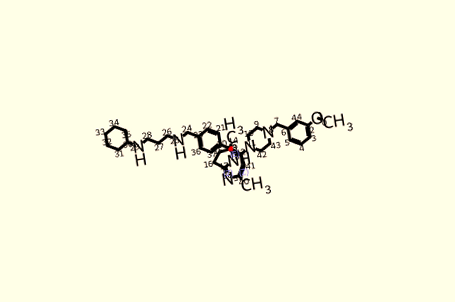 COc1cccc(CN2CCN(C3=C(\C)CC/C(NCc4ccc(CNCCCNC5CCCCC5)cc4)=N/C(C)=C\3)CC2)c1